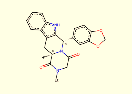 CCN1CC(=O)N2[C@@H](c3ccc4c(c3)OCO4)c3[nH]c4ccccc4c3C[C@@H]2C1=O